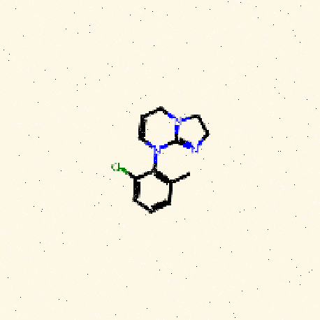 Cc1cccc(Cl)c1N1C=CCN2CCN=C21